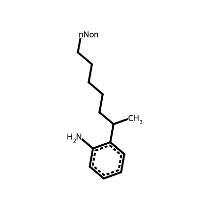 CCCCCCCCCCCCCCC(C)c1ccccc1N